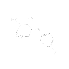 O[C@@H]1[C@@H](Cc2ccc(F)cc2)CNC[C@H]1O